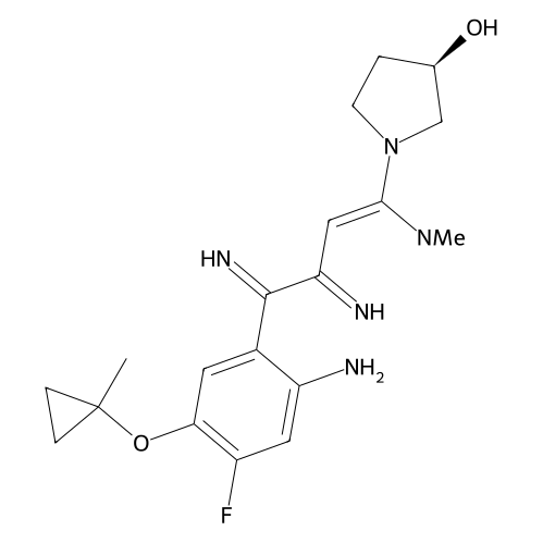 CN/C(=C\C(=N)C(=N)c1cc(OC2(C)CC2)c(F)cc1N)N1CC[C@@H](O)C1